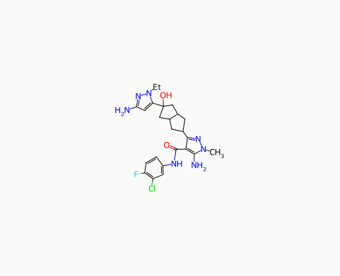 CCn1nc(N)cc1C1(O)CC2CC(c3nn(C)c(N)c3C(=O)Nc3ccc(F)c(Cl)c3)CC2C1